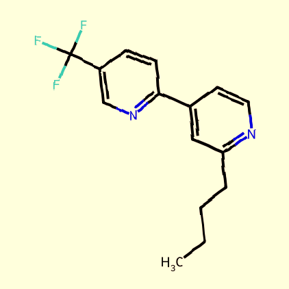 CCCCc1cc(-c2ccc(C(F)(F)F)cn2)ccn1